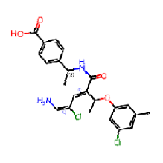 Cc1cc(Cl)cc(OC(C)/C(=C\C(Cl)=C/N)C(=O)N[C@@H](C)c2ccc(C(=O)O)cc2)c1